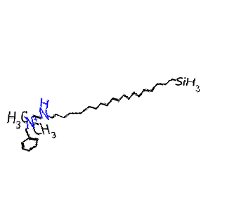 C[N+](C)(CCNCCCCCCCCCCCCCCCCCCCC[SiH3])Cc1ccccc1